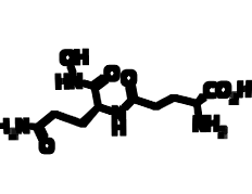 NC(=O)CC[C@H](NC(=O)CC[C@H](N)C(=O)O)C(=O)NO